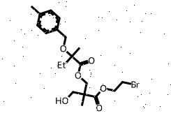 CCC(C)(OCc1ccc(C)cc1)C(=O)OCC(C)(CO)C(=O)OCCBr